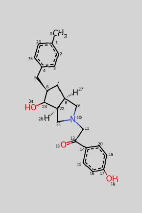 Cc1ccc(C[C@H]2C[C@H]3CN(CC(=O)c4ccc(O)cc4)C[C@H]3C2O)cc1